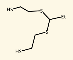 CCC(SCCS)SCCS